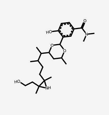 CC1CC(C(C)C(C)CCC2(C)NC2(C)CCO)OC(c2cc(C(=O)N(C)C)ccc2O)O1